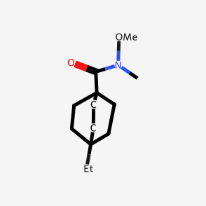 CCC12CCC(C(=O)N(C)OC)(CC1)CC2